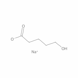 O=C([O-])CCCCO.[Na+]